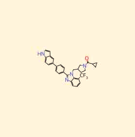 O=C(C1CC1)N1CCC(Cn2c(-c3ccc(-c4ccc5[nH]ccc5c4)cc3)nc3cccc(C(F)(F)F)c32)C1